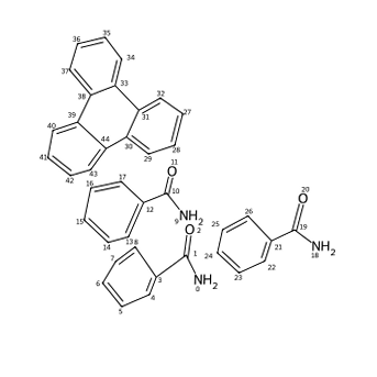 NC(=O)c1ccccc1.NC(=O)c1ccccc1.NC(=O)c1ccccc1.c1ccc2c(c1)c1ccccc1c1ccccc21